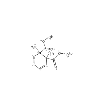 CCCCOC(=O)C1(C)C=CC=CC1(C)C(=O)OCCCC